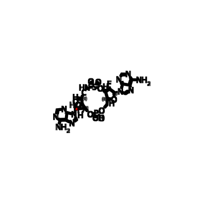 Nc1ncnc2c1ncn2[C@@H]1O[C@@H]2COP(=O)(O)O[C@@H]3[C@H](O)[C@@H](CNS(=O)(=O)O[C@H]2[C@H]1F)O[C@H]3n1cnc2c(N)ncnc21